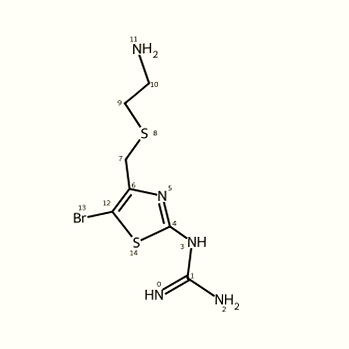 N=C(N)Nc1nc(CSCCN)c(Br)s1